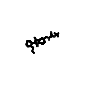 COCc1ccccc1-c1[nH]c2ccc(CNC(=O)OC(C)(C)C)cc2c1C